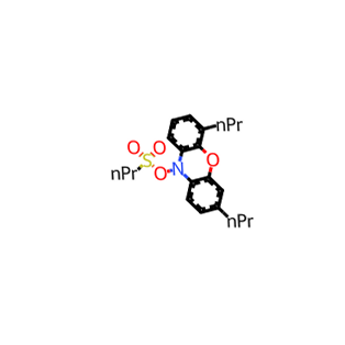 CCCc1ccc2c(c1)Oc1c(CCC)cccc1N2OS(=O)(=O)CCC